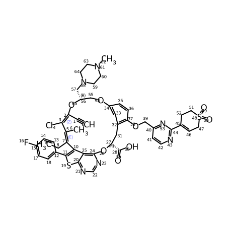 C#C/C1=C(Cl)\C(C)=C(/CC)c2c(-c3ccc(F)cc3)sc3ncnc(c23)O[C@@H](C(=O)O)Cc2cc(ccc2OCc2ccnc(C3=CCS(=O)(=O)CC3)n2)OC[C@@H](CN2CCN(C)CC2)O1